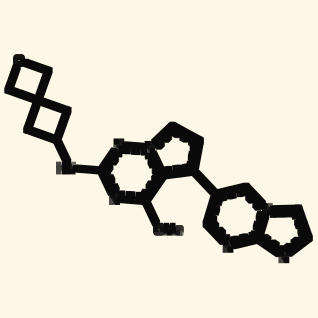 COc1nc(NC2CC3(COC3)C2)nn2ccc(-c3cnc4nccn4c3)c12